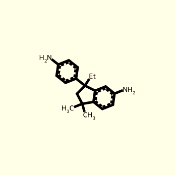 CCC1(c2ccc(N)cc2)CC(C)(C)c2ccc(N)cc21